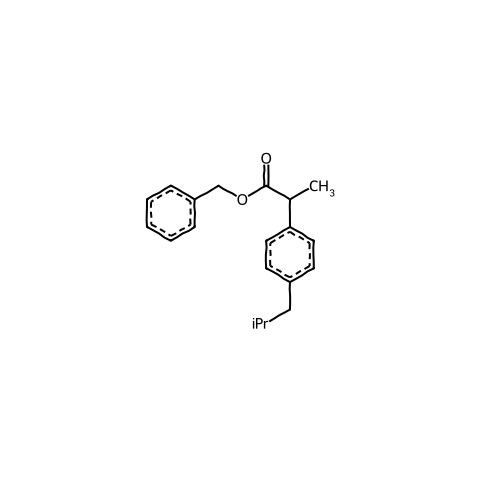 CC(C)Cc1ccc(C(C)C(=O)OCc2ccccc2)cc1